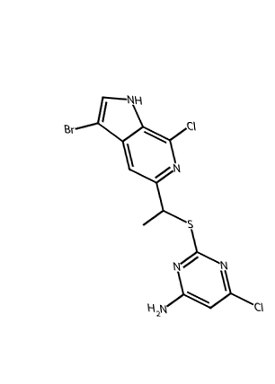 CC(Sc1nc(N)cc(Cl)n1)c1cc2c(Br)c[nH]c2c(Cl)n1